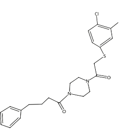 Cc1cc(SCC(=O)N2CCN(C(=O)CCCc3ccccc3)CC2)ccc1Cl